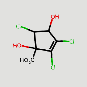 O=C(O)C1(O)C(Cl)=C(Cl)C(O)C1Cl